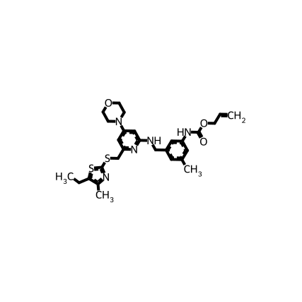 C=CCOC(=O)Nc1cc(C)cc(CNc2cc(N3CCOCC3)cc(CSc3nc(C)c(CC)s3)n2)c1